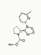 Cc1cccc(-n2ccnc2[C@@H]2CCCN2C(=O)OC(C)(C)C)n1